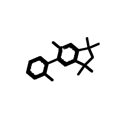 Cc1ccccc1-c1cc2c(c[n+]1C)C(C)(C)CC2(C)C